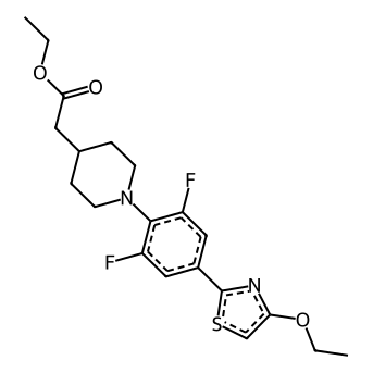 CCOC(=O)CC1CCN(c2c(F)cc(-c3nc(OCC)cs3)cc2F)CC1